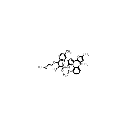 COCCOC(c1ncc(C)cn1)C(C)S(=O)(=O)Nc1nnc(-c2ccc(C)o2)n1-c1c(OC)cccc1OC